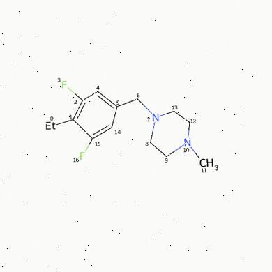 CCc1c(F)cc(CN2CCN(C)CC2)cc1F